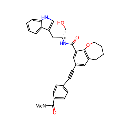 CNC(=O)c1ccc(C#Cc2cc3c(c(C(=O)N[C@@H](CO)Cc4c[nH]c5ccccc45)c2)OCCCC3)cc1